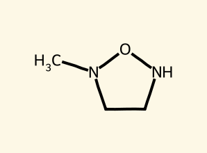 CN1CCNO1